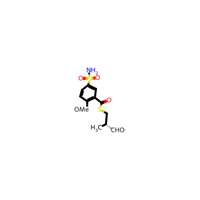 COc1ccc(S(N)(=O)=O)cc1C(=O)SC[C@@H](C)[C]=O